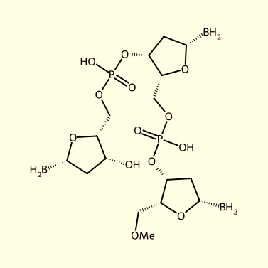 B[C@H]1C[C@@H](O)[C@@H](COP(=O)(O)O[C@@H]2C[C@H](B)O[C@@H]2COP(=O)(O)O[C@@H]2C[C@H](B)O[C@@H]2COC)O1